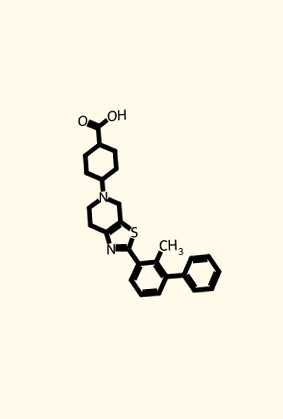 Cc1c(-c2ccccc2)cccc1-c1nc2c(s1)CN(C1CCC(C(=O)O)CC1)CC2